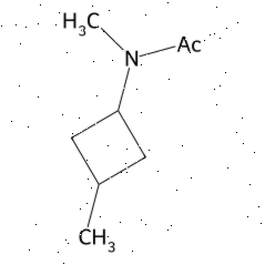 CC(=O)N(C)C1CC(C)C1